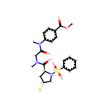 COC(=O)c1ccc(N(C)C(=O)CN(C)C(=O)[C@@H]2C[C@@H](S)CN2S(=O)(=O)c2ccccc2)cc1